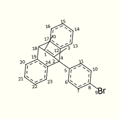 CC1=C(C)C2(c3ccc(Br)cc3)c3ccccc3C1c1ccccc12